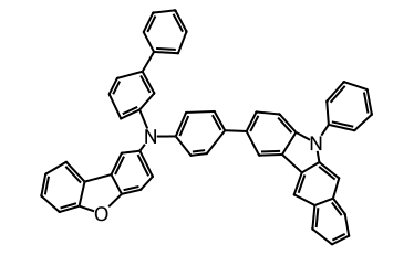 c1ccc(-c2cccc(N(c3ccc(-c4ccc5c(c4)c4cc6ccccc6cc4n5-c4ccccc4)cc3)c3ccc4oc5ccccc5c4c3)c2)cc1